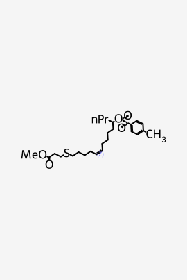 CCCC(CCCC/C=C\CCCCSCCC(=O)OC)OS(=O)(=O)c1ccc(C)cc1